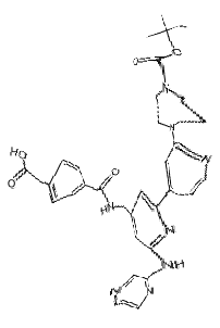 CC(C)(C)OC(=O)N1CCN(c2cc(-c3cc(NC(=O)c4ccc(C(=O)O)cc4)cc(Nc4cnccn4)n3)ccn2)CC1